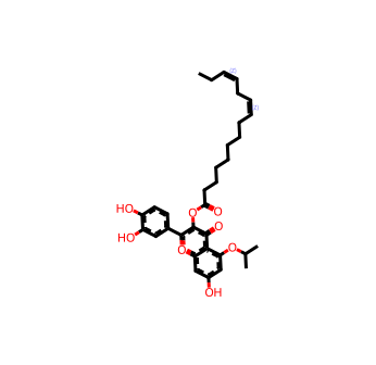 CC/C=C\C/C=C\CCCCCCCC(=O)Oc1c(-c2ccc(O)c(O)c2)oc2cc(O)cc(OC(C)C)c2c1=O